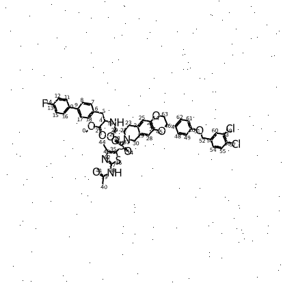 COC(=O)C(Cc1ccc(-c2ccc(F)cc2)cc1)NC(=O)[C@@H]1Cc2cc3c(cc2CN1S(=O)(=O)c1sc(NC(C)=O)nc1C)O[C@@H](c1ccc(OCc2ccc(Cl)c(Cl)c2)cc1)CO3